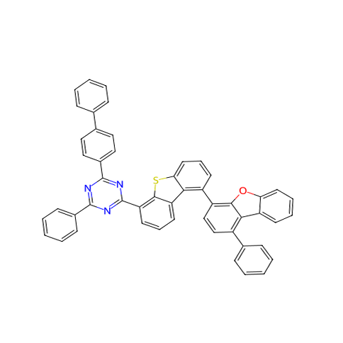 c1ccc(-c2ccc(-c3nc(-c4ccccc4)nc(-c4cccc5c4sc4cccc(-c6ccc(-c7ccccc7)c7c6oc6ccccc67)c45)n3)cc2)cc1